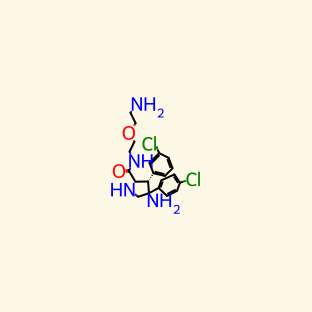 NCCOCCNC(=O)C1NC[C@](N)(c2ccc(Cl)cc2)[C@H]1c1cccc(Cl)c1